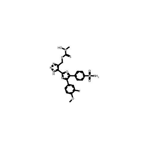 COc1ccc(-c2nc(-c3[nH]nnc3CSC(=S)N(C)O)oc2-c2ccc(S(N)(=O)=O)cc2)cc1F